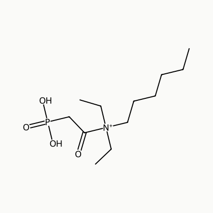 CCCCCC[N+](CC)(CC)C(=O)CP(=O)(O)O